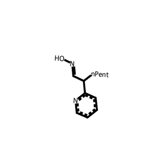 CCCCCC(C=NO)c1ccccn1